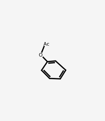 C[12C](=O)Oc1ccccc1